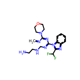 C=N/C(=N\C(=N/CNCCN)n1c(C(F)F)nc2ccccc21)N1CCOCC1